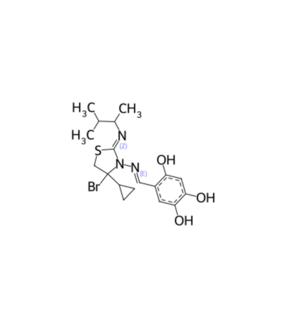 CC(C)C(C)/N=C1\SCC(Br)(C2CC2)N1/N=C/c1cc(O)c(O)cc1O